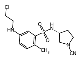 Cc1ccc(NCCCl)cc1S(=O)(=O)N[C@@H]1CCN(C#N)C1